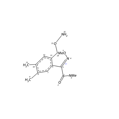 CNC(=O)/C(=N/OC)c1cc(C)c(C)cc1CON